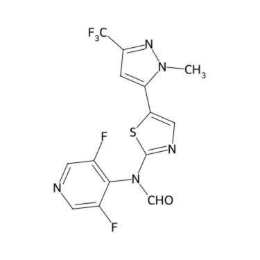 Cn1nc(C(F)(F)F)cc1-c1cnc(N(C=O)c2c(F)cncc2F)s1